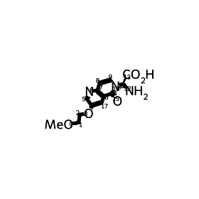 COCCOc1cnc2ccn([C@H](N)C(=O)O)c(=O)c2c1